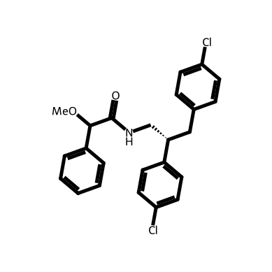 COC(C(=O)NC[C@H](Cc1ccc(Cl)cc1)c1ccc(Cl)cc1)c1ccccc1